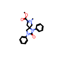 CNCC1(CCC(=O)OC)CN(c2ccccc2)C(=O)N1c1ccccc1